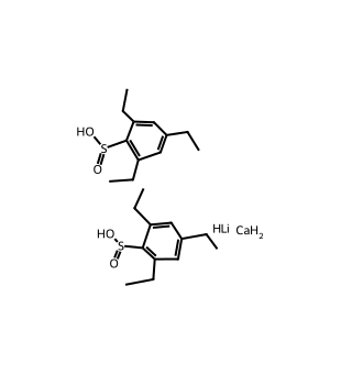 CCc1cc(CC)c(S(=O)O)c(CC)c1.CCc1cc(CC)c(S(=O)O)c(CC)c1.[CaH2].[LiH]